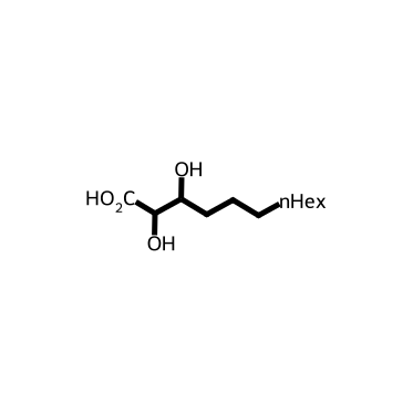 CCCCCCCCCC(O)C(O)C(=O)O